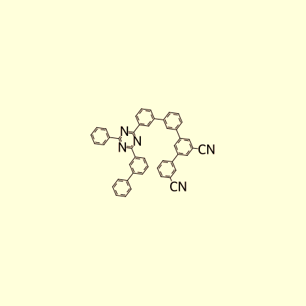 N#Cc1cccc(-c2cc(C#N)cc(-c3cccc(-c4cccc(-c5nc(-c6ccccc6)nc(-c6cccc(-c7ccccc7)c6)n5)c4)c3)c2)c1